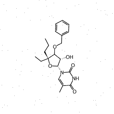 CCC[C@]1(CC)O[C@@H](n2cc(C)c(=O)[nH]c2=O)[C@@H](O)C1OCc1ccccc1